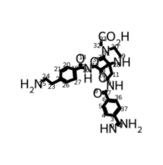 N=C(N)c1ccc(C(=O)NCCC2(C(=O)CNC(=O)c3ccc(CCN)cc3)NCCN(CC(=O)O)C2=O)cc1